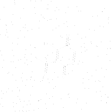 O=C1C=CC(=O)C([N+](=O)[O-])=C1O